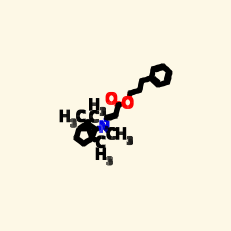 CN(C=CC(=O)OCCCc1ccccc1)C1C2(C)CCC(C2)C1(C)C